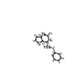 Cc1nc(NCc2ccccc2)c2sccc2n1